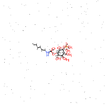 CCCCCCNC(=O)O[C@H]1[C@@H](O)[C@@H](OP(=O)(O)O)[C@H](O)[C@@H](O)[C@@H]1O